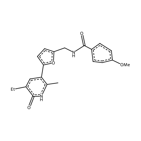 CCc1cc(-c2ccc(CNC(=O)c3ccc(OC)cc3)o2)c(C)[nH]c1=O